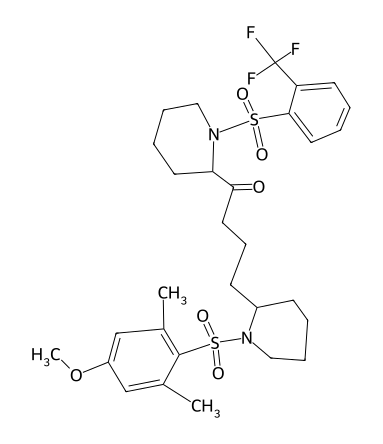 COc1cc(C)c(S(=O)(=O)N2CCCCC2CCCC(=O)C2CCCCN2S(=O)(=O)c2ccccc2C(F)(F)F)c(C)c1